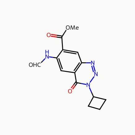 COC(=O)c1cc2nnn(C3CCC3)c(=O)c2cc1NC=O